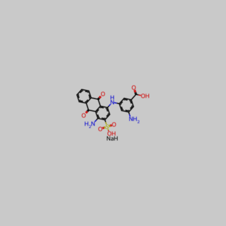 Nc1cc(Nc2cc(S(=O)(=O)O)c(N)c3c2C(=O)c2ccccc2C3=O)cc(C(=O)O)c1.[NaH]